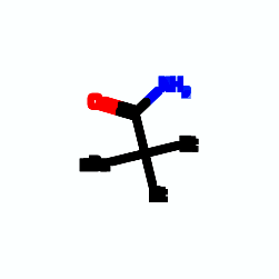 [CH2]CCCC(CC)(CC)C(N)=O